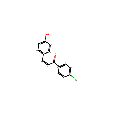 O=C(/C=C\c1ccc(O)cc1)c1ccc(Cl)cc1